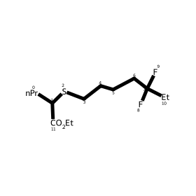 CCCC(SCCCCC(F)(F)CC)C(=O)OCC